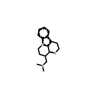 CN(C)CC1CCn2c3c(c4ccccc42)CCSC31C